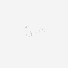 CN1C(=O)N(CCCN2CCN(c3ncccn3)CC2)S(=O)(=O)c2cc([N+](=O)[O-])ccc21